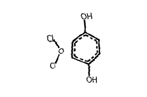 ClOCl.Oc1ccc(O)cc1